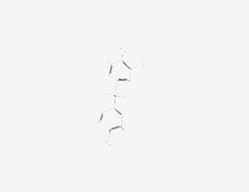 CC(C)(C)c1cc(C(C)(C)c2ccc(N)c(C(C)(C)C)c2)ccc1N